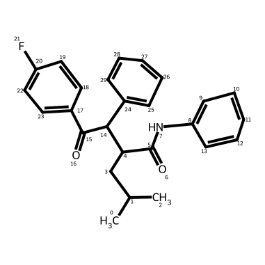 CC(C)CC(C(=O)Nc1ccccc1)C(C(=O)c1ccc(F)cc1)c1ccccc1